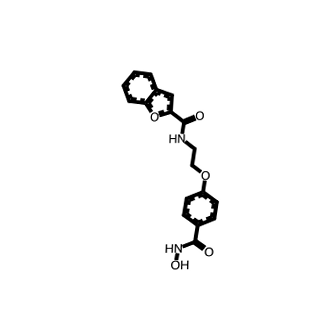 O=C(NO)c1ccc(OCCNC(=O)c2cc3ccccc3o2)cc1